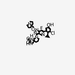 O=S1(=O)NCC2(CCCN(c3nc(OCC45CCCN4CCC5)nc4c(F)c(-c5cc(O)cc(Cl)c5C5CC5)ncc34)C2)N1